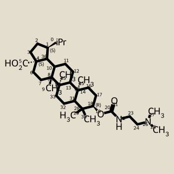 CC(C)[C@@H]1CC[C@]2(C(=O)O)CC[C@]3(C)C(CCC4[C@@]5(C)CC[C@@H](OC(=O)NCCN(C)C)C(C)(C)C5CC[C@]43C)C12